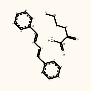 C(C=Cc1ccccc1)=Cc1ccccc1.C=C(CCCC)C(=O)O